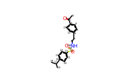 CC(=O)c1ccc(CCNS(=O)(=O)c2ccc(C(C)C)cc2)cc1